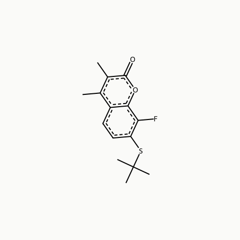 Cc1c(C)c2ccc(SC(C)(C)C)c(F)c2oc1=O